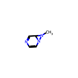 CN1C2C=NC=CN21